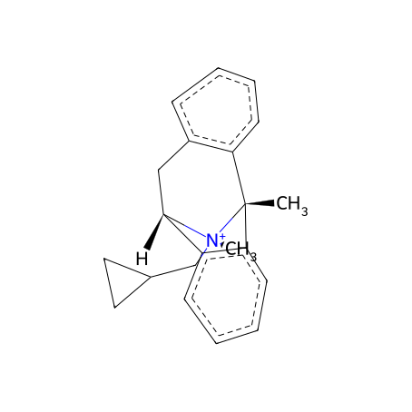 C[C@@]12c3ccccc3C[C@@H](c3ccccc31)[N@@+]2(C)CC1CC1